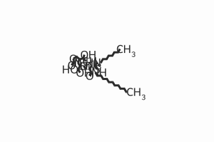 CCCCCCCCCCCCNC(=O)[C@H](COC(C(O)O)N1C(=O)OCC1C(C)O)NC(=S)NCCCCCCCC